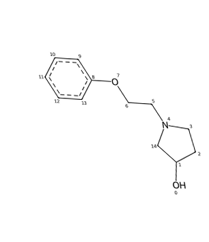 OC1CCN(CCOc2ccccc2)C1